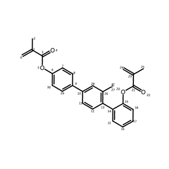 C=C(C)C(=O)Oc1ccc(-c2ccc(-c3ccccc3OC(=O)C(=C)C)c(F)c2)cc1